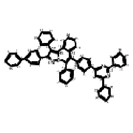 c1ccc(-c2ccc(-c3nn4c(-c5ccccc5)c(-c5ccc(-c6cc(-c7ccccc7)nc(-c7ccccc7)n6)cc5)c5ccccc5c4c3-c3ccccc3)cc2)cc1